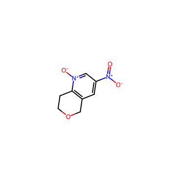 O=[N+]([O-])c1cc2c([n+]([O-])c1)CCOC2